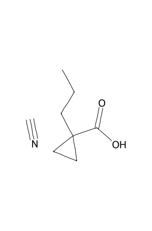 C#N.CCCC1(C(=O)O)CC1